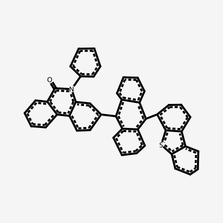 O=c1c2ccccc2c2ccc(-c3c4ccccc4c(-c4cccc5c4sc4ccccc45)c4ccccc34)cc2n1-c1ccccc1